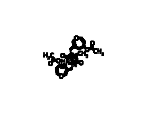 CC(=O)O[C@H]1C=COC=C2C[C@]34SS[C@](CC5=COC=C[C@H](OC(C)=O)C5)(C(=O)N3[C@@H]21)N(C)C4=O